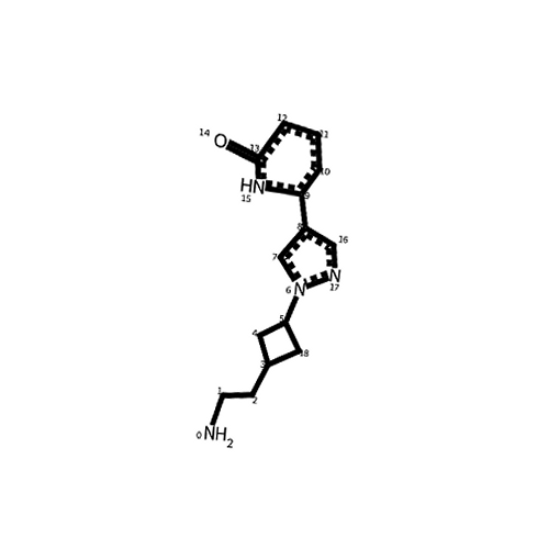 NCCC1CC(n2cc(-c3cccc(=O)[nH]3)cn2)C1